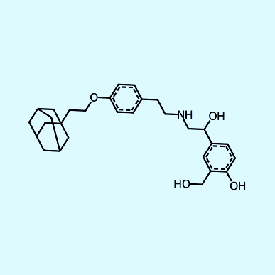 OCc1cc(C(O)CNCCc2ccc(OCCC34CC5CC(CC(C5)C3)C4)cc2)ccc1O